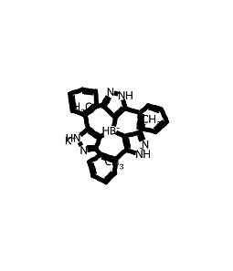 Cc1n[nH]c(-c2ccccc2)c1[BH-](c1c(C)n[nH]c1-c1ccccc1)c1c(C)n[nH]c1-c1ccccc1.[K+]